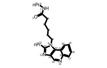 CCCNC(=O)CCCCCn1c(CCC)nc2cnc3ccccc3c21